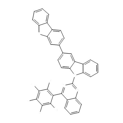 [2H]c1c([2H])c([2H])c(-c2nc(-n3c4ccccc4c4cc(-c5ccc6c(c5)sc5ccccc56)ccc43)nc3ccccc23)c([2H])c1[2H]